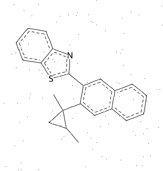 CC1CC1(C)c1cc2ccccc2cc1-c1nc2ccccc2s1